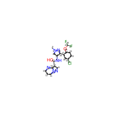 Cn1cc(NC(O)c2cnn3cccnc23)c(-c2cc(Cl)ccc2OC(F)F)n1